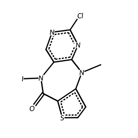 CN1c2ccsc2C(=O)N(I)c2cnc(Cl)nc21